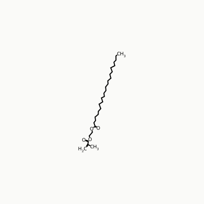 C=C(C)C(=O)OCCOC(=O)CCCCCCCCCCCCCCCCCCCCCCCC